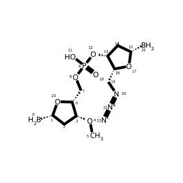 B[C@H]1C[C@@H](OC)[C@@H](COP(=O)(O)O[C@@H]2C[C@H](B)O[C@@H]2CN=[N+]=[N-])O1